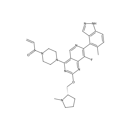 C=CC(=O)N1CCN(c2nc(OC[C@@H]3CCCN3C)nc3c(F)c(-c4c(C)ccc5[nH]ncc45)ncc23)CC1